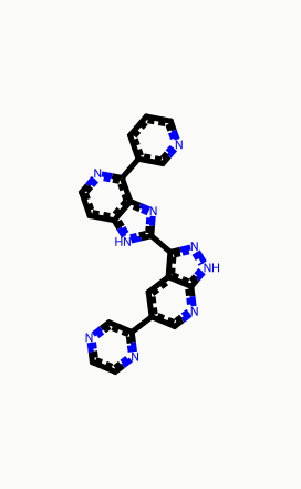 c1cncc(-c2nccc3[nH]c(-c4n[nH]c5ncc(-c6cnccn6)cc45)nc23)c1